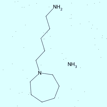 N.NCCCCCN1CCCCCC1